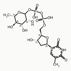 Cc1cn([C@H]2C[C@H](O)[C@@H](COP(=O)(O)OP(=O)(O)OC3O[C@@H](C)[C@H](O)[C@@H](O)[C@H]3O)O2)c(=O)[nH]c1=O